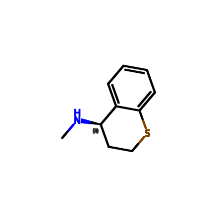 CN[C@@H]1CCSc2ccccc21